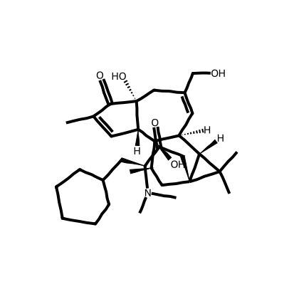 CC1=C[C@H]2[C@@]3(O)[C@H](C)C[C@]4(CC(=O)[C@H](CC5CCCCC5)N(C)C)[C@H]([C@@H]3C=C(CO)C[C@]2(O)C1=O)C4(C)C